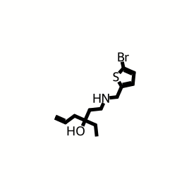 C=CCC(O)(CC)CCNCc1ccc(Br)s1